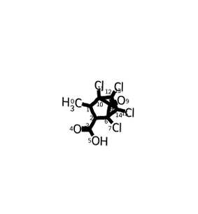 CC1C(C(=O)O)C2(Cl)C(=O)C1(Cl)C(Cl)=C2Cl